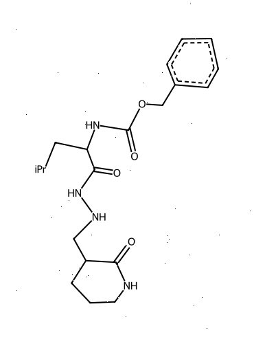 CC(C)CC(NC(=O)OCc1ccccc1)C(=O)NNCC1CCCNC1=O